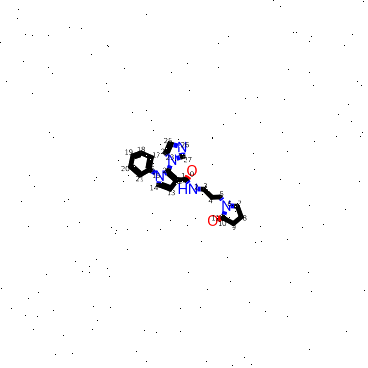 O=C(NCCCN1CCCC1=O)c1ccn(-c2ccccc2)c1-n1ccnc1